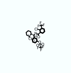 CN1CCCC[C@H]1C(NC(=O)c1cccc(C(F)(F)F)c1Cl)c1cccc(OS(=O)(=O)C(F)(F)F)c1